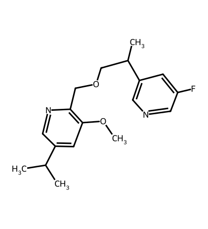 COc1cc(C(C)C)cnc1COCC(C)c1cncc(F)c1